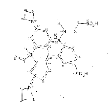 C=C[Si]1(C)C2=CC(=[N+]3CCC3)C=CC2=C(c2cc(C(=O)O)ccc2C(=O)N(C)CCS(=O)(=O)O)c2ccc(N3CCC3)cc21